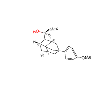 CCCCCC[C@H](O)C1[C@@H]2C[C@@H]3C[C@H]1CC(c1ccc(OC)cc1)(C3)C2